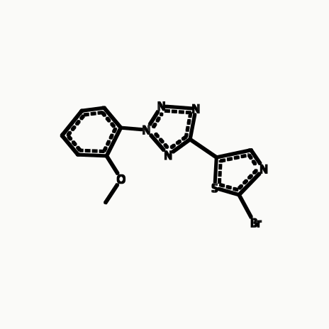 COc1ccccc1-n1nnc(-c2cnc(Br)s2)n1